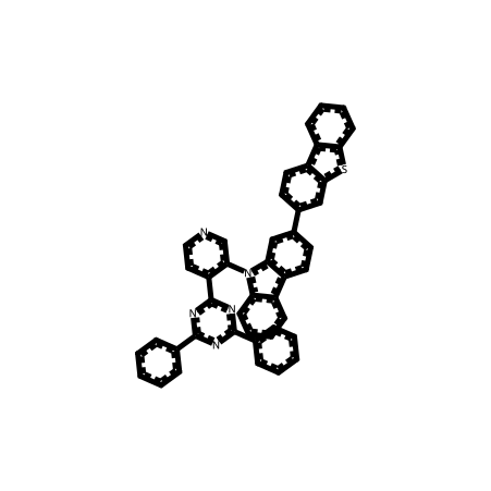 c1ccc(-c2nc(-c3ccccc3)nc(-c3ccncc3-n3c4ccccc4c4ccc(-c5ccc6c(c5)sc5ccccc56)cc43)n2)cc1